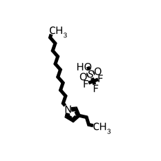 CCCCCCCCCCCCn1ccc(CCC)c1.O=S(=O)(O)C(F)(F)F